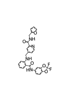 O=C(NCc1ccco1)c1cc(CNc2ccccc2C(=O)Nc2ccc3c(c2)OC(F)(F)O3)ccn1